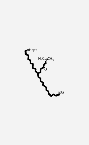 CCCC/C=C\C/C=C\CCCCCCCCC(CCCCCCCC/C=C\CCCCCCC)CCC(=O)CCN(C)C